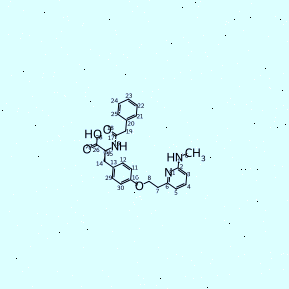 CNc1cccc(CCOc2ccc(C[C@H](NC(=O)Cc3ccccc3)C(=O)O)cc2)n1